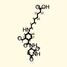 O=Cc1cc(NCCCCCCCC(=O)O)ccc1C(=O)NC1CCC(=O)NC1=O